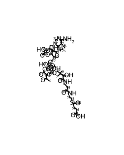 CC(=O)CC(=O)O.CC(C)(COP(=O)(O)OP(=O)(O)OC[C@H]1O[C@@H](n2cnc3c(N)ncnc32)[C@H](O)[C@@H]1OP(=O)(O)O)[C@@H](O)C(=O)NCCC(=O)NCCSC(=O)CCC(=O)O